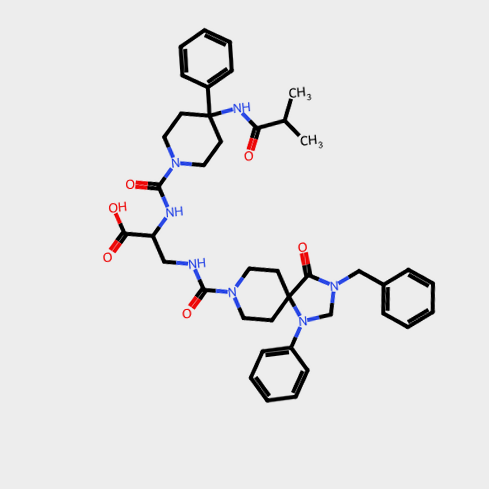 CC(C)C(=O)NC1(c2ccccc2)CCN(C(=O)NC(CNC(=O)N2CCC3(CC2)C(=O)N(Cc2ccccc2)CN3c2ccccc2)C(=O)O)CC1